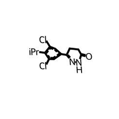 CC(C)c1c(Cl)cc(C2=NNC(=O)CC2)cc1Cl